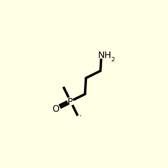 [CH2]P(C)(=O)CCCN